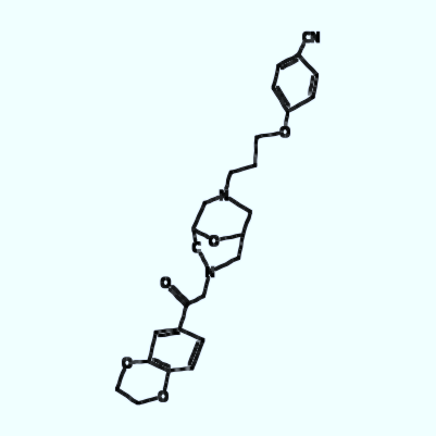 N#Cc1ccc(OCCCN2CC3CN(CC(=O)c4ccc5c(c4)OCCO5)CC(C2)O3)cc1